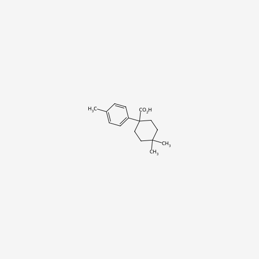 Cc1ccc(C2(C(=O)O)CCC(C)(C)CC2)cc1